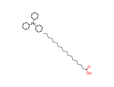 CCCCCCCCCCCCCCCCCC(=O)O.c1cc[c]([Pb]([c]2ccccc2)[c]2ccccc2)cc1